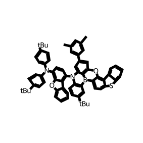 Cc1cc(C)cc(-c2cc3c4c(c2)N(c2ccc(N(c5ccc(C(C)(C)C)cc5)c5ccc(C(C)(C)C)cc5)c5oc6ccccc6c25)c2ccc(C(C)(C)C)cc2B4c2ccc4sc5ccccc5c4c2O3)c1